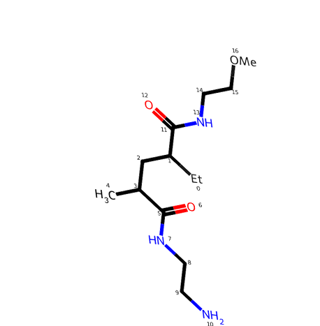 CCC(CC(C)C(=O)NCCN)C(=O)NCCOC